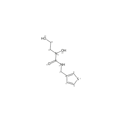 O=C(NCc1ccsc1)N(O)CCO